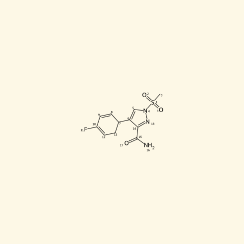 CS(=O)(=O)n1cc(C2C=CC(F)=CC2)c(C(N)=O)n1